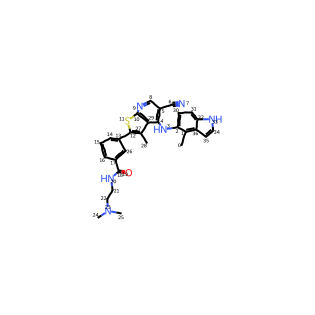 Cc1c(Nc2c(C#N)cnc3sc(-c4cccc(C(=O)NCCN(C)C)c4)c(C)c23)ccc2[nH]ccc12